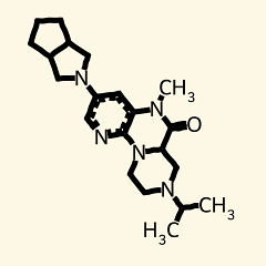 CC(C)N1CCN2c3ncc(N4CC5CCCC5C4)cc3N(C)C(=O)C2C1